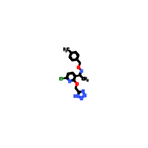 CC(=NOCc1ccc(C(F)(F)F)cc1)c1ccc(Cl)nc1OCc1nnn[nH]1